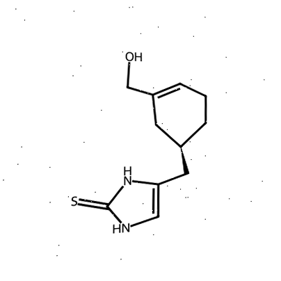 OCC1=CCC[C@@H](Cc2c[nH]c(=S)[nH]2)C1